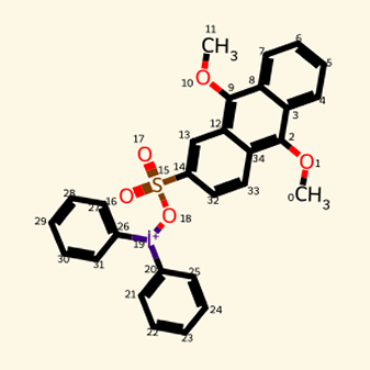 COc1c2ccccc2c(OC)c2cc(S(=O)(=O)O[I+](c3ccccc3)c3ccccc3)ccc12